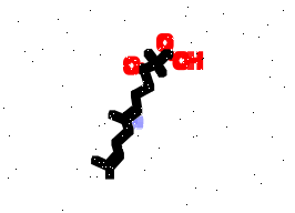 CC(C)=CCC/C(C)=C/CCC(=O)C(C)(C)C(=O)O